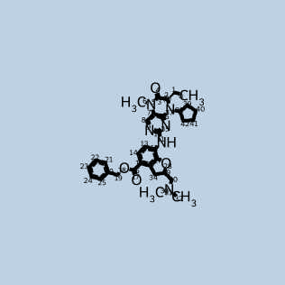 CC[C@@H]1C(=O)N(C)c2cnc(Nc3ccc(C(=O)OCc4ccccc4)c4c3OC(CN(C)C)C4)nc2N1C1CCCC1